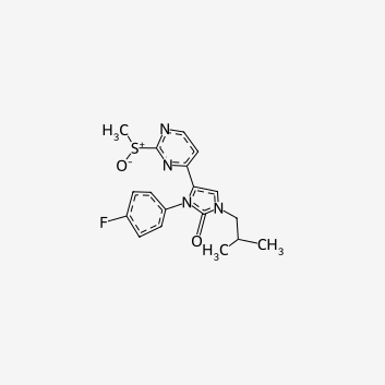 CC(C)Cn1cc(-c2ccnc([S+](C)[O-])n2)n(-c2ccc(F)cc2)c1=O